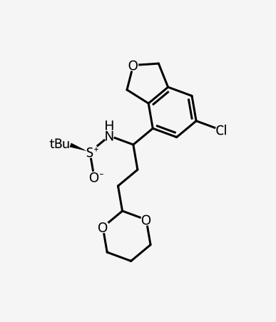 CC(C)(C)[S@+]([O-])NC(CCC1OCCCO1)c1cc(Cl)cc2c1COC2